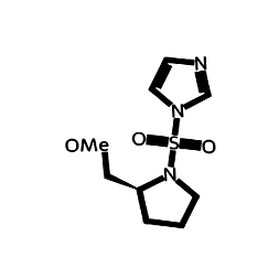 COC[C@@H]1CCCN1S(=O)(=O)n1ccnc1